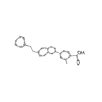 Cc1cc(-c2ccc3cc(CCc4ccccc4)ccc3c2)ccc1C(=O)O